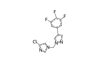 Fc1cc(-c2cnn(Cn3cnc(Cl)c3)c2)cc(F)c1F